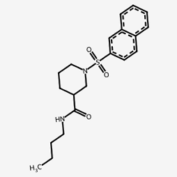 CCCCNC(=O)C1CCCN(S(=O)(=O)c2ccc3ccccc3c2)C1